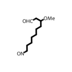 COC(CC=O)CCCCCCCN=O